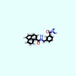 CN(C)C(=O)c1cccc(CNC(=O)c2ccc3c4c(cccc24)CC3)c1